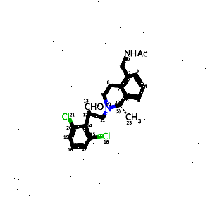 CC(=O)NCc1cccc2c1CCN(CC(C=O)c1c(Cl)cccc1Cl)[C@H]2C